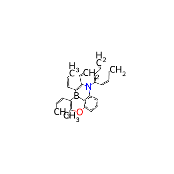 C=C/C=C\C(=C/C=C)N1C(C=C)=C(/C=C\C)B2C(/C=C\C)=C(C)Oc3cccc1c32